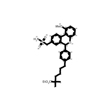 CCOC(=O)C(C)(C)CCCCc1ccc(C2Oc3cccc(OC)c3-c3ccc(CS(N)(=O)=O)cc32)cc1